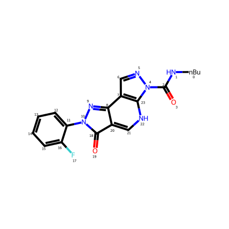 CCCCNC(=O)n1ncc2c3nn(-c4ccccc4F)c(=O)c-3c[nH]c21